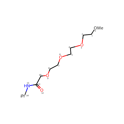 COCCOCCOCCOCC(=O)NC(C)C